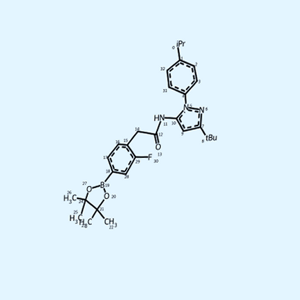 CC(C)c1ccc(-n2nc(C(C)(C)C)cc2NC(=O)Cc2ccc(B3OC(C)(C)C(C)(C)O3)cc2F)cc1